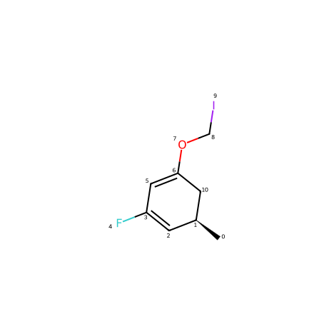 C[C@H]1C=C(F)C=C(OCI)C1